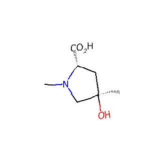 CN1C[C@](C)(O)C[C@H]1C(=O)O